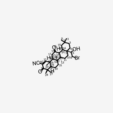 CC1(C)CC[C@]2(C(O)CBr)CC[C@]3(C)C(C(=O)C[C@@H]4[C@@]5(C)C=C(C#N)C(=O)C(C)(C)[C@@H]5CC[C@]43C)[C@H]2C1